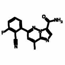 Cc1cc(-c2cccc(F)c2C#N)nn2c(C(N)=O)cnc12